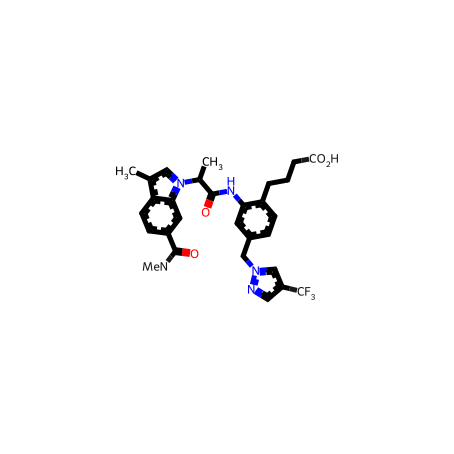 CNC(=O)c1ccc2c(C)cn(C(C)C(=O)Nc3cc(Cn4cc(C(F)(F)F)cn4)ccc3CCCC(=O)O)c2c1